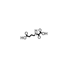 O=C(O)CCCNC(=O)C(=O)O